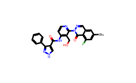 CC(C)(C)c1cc(F)c2c(=O)n(-c3nccc(NC(=O)c4c[nH]nc4-c4ccccc4)c3CO)ncc2c1